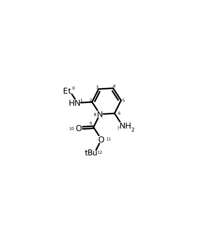 CCNC1=CC=CC(N)N1C(=O)OC(C)(C)C